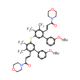 CCCCOc1cccc(-c2cc(Sc3cc(-c4cccc(OCCCC)c4)c(/C=C/C(=O)N4CCOCC4)c(C(F)(F)F)c3C(F)(F)F)c(C(F)(F)F)c(C(F)(F)F)c2/C=C/C(=O)N2CCOCC2)c1